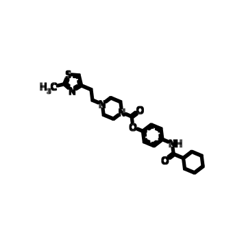 Cc1nc(CCN2CCN(C(=O)Oc3ccc(NC(=O)C4CCCCC4)cc3)CC2)cs1